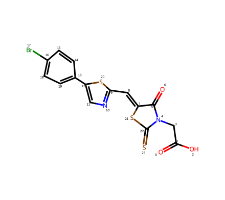 O=C(O)CN1C(=O)/C(=C/c2ncc(-c3ccc(Br)cc3)s2)SC1=S